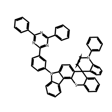 c1ccc(-c2nc(-c3ccccc3)nc(-c3cccc(-n4c5ccccc5c5c6c(ccc54)C4(c5ccccc5S6)c5ccccc5N(c5ccccc5)c5ccccc54)c3)n2)cc1